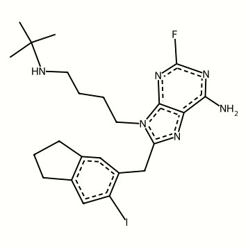 CC(C)(C)NCCCCn1c(Cc2cc3c(cc2I)CCC3)nc2c(N)nc(F)nc21